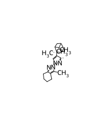 Cc1c2c(nn1-n1cc([C@]3(C)CCC4CC3C4(C)C)[c]n1)CCCC2